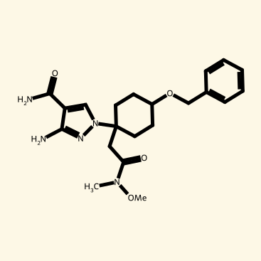 CON(C)C(=O)CC1(n2cc(C(N)=O)c(N)n2)CCC(OCc2ccccc2)CC1